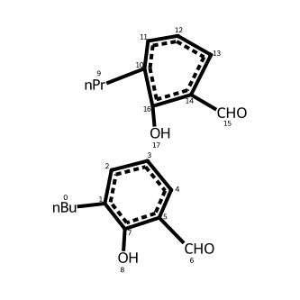 CCCCc1cccc(C=O)c1O.CCCc1cccc(C=O)c1O